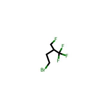 FCC(CCBr)C(F)(F)F